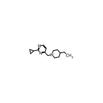 CCC1CCN(Cc2ccnc(C3CC3)n2)CC1